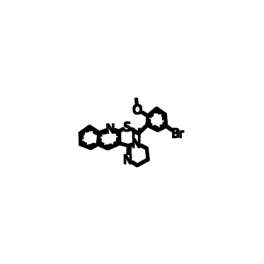 COc1ccc(Br)cc1CSc1nc2ccccc2cc1C1=NCCCN1